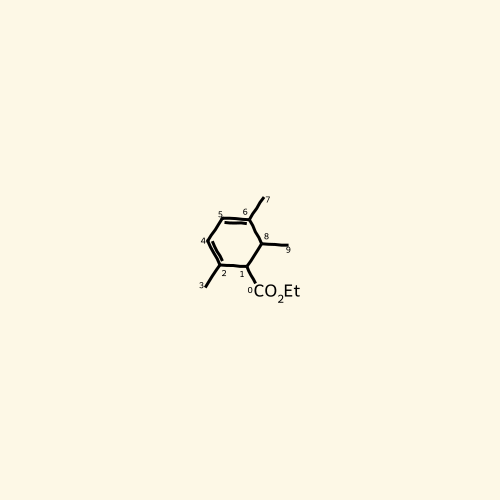 CCOC(=O)C1C(C)=CC=C(C)C1C